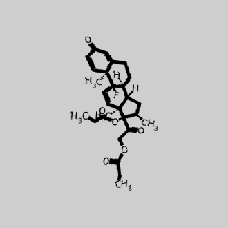 CCC(=O)OCC(=O)[C@@]1(OC(=O)CC)[C@H](C)C[C@H]2[C@@H]3CCC4=CC(=O)C=C[C@]4(C)[C@@]3(F)C=C[C@@]21C